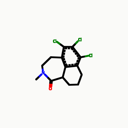 CN1CCc2c(Cl)c(Cl)c(Cl)c3c2C(CCC3)C1=O